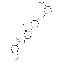 CCOc1cccc(C(=O)Nc2ccc(N3CCC(COc4cccc(C(=O)O)c4)CC3)nc2)c1